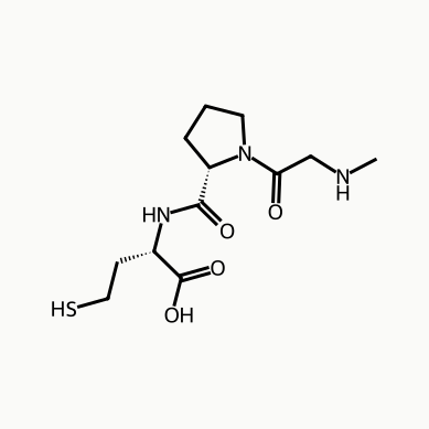 CNCC(=O)N1CCC[C@H]1C(=O)N[C@@H](CCS)C(=O)O